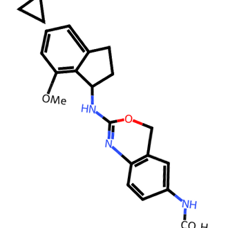 C1CC1.COc1cccc2c1C(NC1=Nc3ccc(NC(=O)O)cc3CO1)CC2